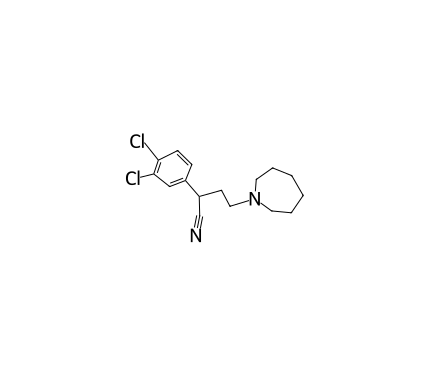 N#CC(CCN1CCCCCC1)c1ccc(Cl)c(Cl)c1